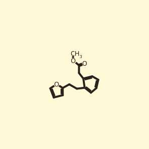 COC(=O)Cc1ccccc1CCc1ccco1